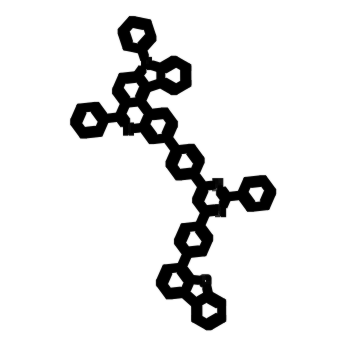 c1ccc(-c2nc(-c3ccc(-c4ccc5c(c4)nc(-c4ccccc4)c4ccc6c(c7ccccc7n6-c6ccccc6)c45)cc3)cc(-c3ccc(-c4cccc5c4oc4ccccc45)cc3)n2)cc1